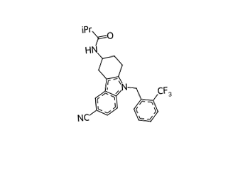 CC(C)C(=O)NC1CCc2c(c3cc(C#N)ccc3n2Cc2ccccc2C(F)(F)F)C1